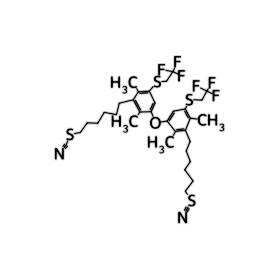 Cc1c(Oc2cc(SCC(F)(F)F)c(C)c(CCCCCCSC#N)c2C)cc(SCC(F)(F)F)c(C)c1CCCCCCSC#N